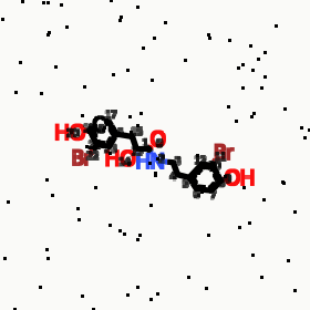 O=C(NCCc1ccc(O)c(Br)c1)C(O)Cc1ccc(O)c(Br)c1